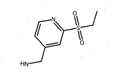 CCS(=O)(=O)c1cc(C[NH])ccn1